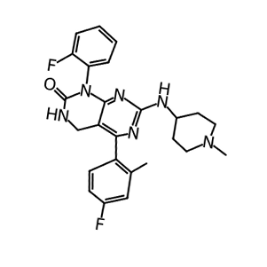 Cc1cc(F)ccc1-c1nc(NC2CCN(C)CC2)nc2c1CNC(=O)N2c1ccccc1F